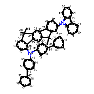 CC1(C)c2cc(-n3c4ccccc4c4ccccc43)ccc2-c2cc3c(cc21)-c1c(N(c2ccc(-c4ccccc4)cc2)c2ccc(-c4ccccc4)cc2)cccc1C3(C)C